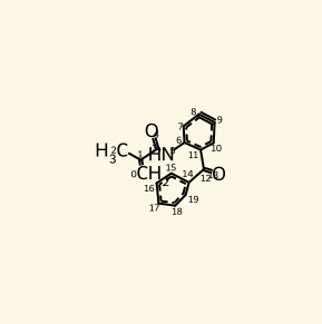 C=C(C)C(=O)Nc1cc#ccc1C(=O)c1ccccc1